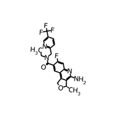 CCN(Cc1ccc(C(F)(F)F)cn1)C(=O)c1cc2c3c(c(N)nc2cc1F)[C@@H](C)OC3